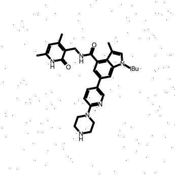 CCC(C)n1cc(C)c2c(C(=O)NCc3c(C)cc(C)[nH]c3=O)cc(-c3ccc(N4CCNCC4)nc3)cc21